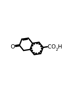 O=C1C=Cc2cc(C(=O)O)ccc2C1